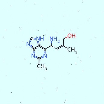 CC(=CC(N)c1nc(C)nc2nc[nH]c12)CO